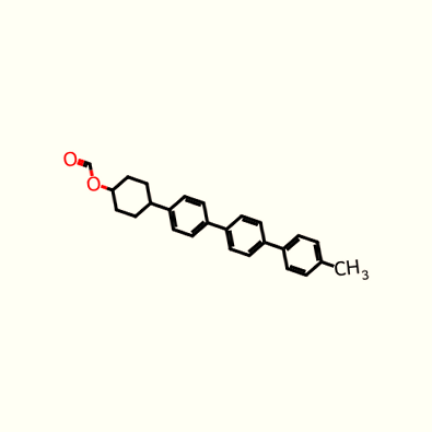 Cc1ccc(-c2ccc(-c3ccc(C4CCC(OC=O)CC4)cc3)cc2)cc1